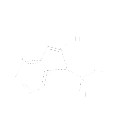 Cc1cc2ccccc2n1N(C)C